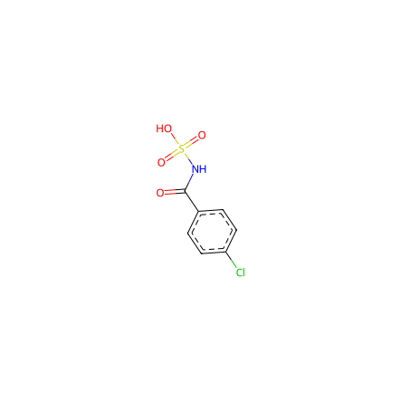 O=C(NS(=O)(=O)O)c1ccc(Cl)cc1